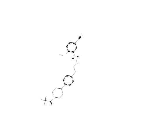 COc1ccc(C#N)cc1S(=O)(=O)NCCc1ccc(C2CCN(C(=O)C(F)(F)F)CC2)cc1